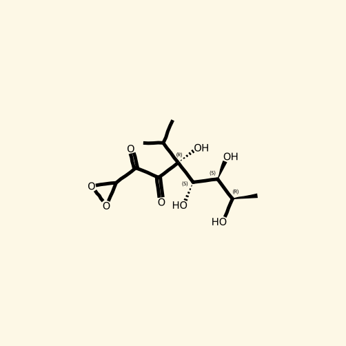 CC(C)[C@](O)(C(=O)C(=O)C1OO1)[C@@H](O)[C@@H](O)[C@@H](C)O